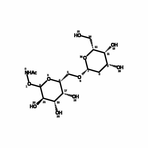 CC(=O)NOC1O[C@H](CO[C@H]2C[C@@H](O)[C@@H](O)[C@@H](CO)O2)[C@H](O)[C@H](O)[C@H]1O